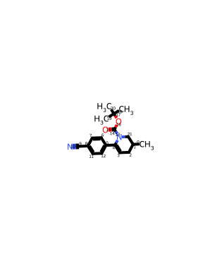 CC1CC=C(c2ccc(C#N)cc2)N(C(=O)OC(C)(C)C)C1